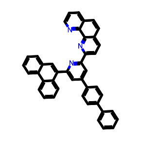 c1ccc(-c2ccc(-c3cc(-c4ccc5ccc6cccnc6c5n4)nc(-c4cc5ccccc5c5ccccc45)c3)cc2)cc1